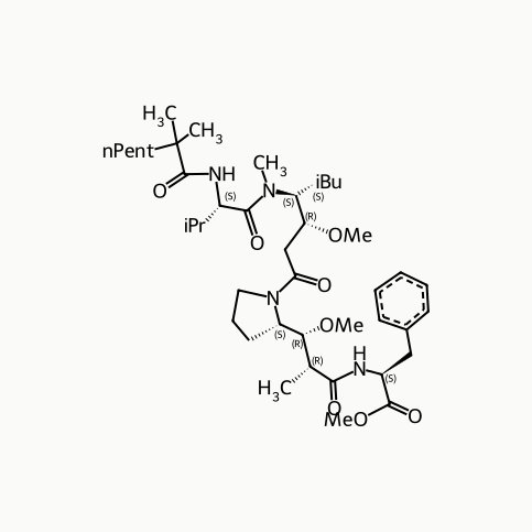 CCCCCC(C)(C)C(=O)N[C@H](C(=O)N(C)[C@@H]([C@@H](C)CC)[C@@H](CC(=O)N1CCC[C@H]1[C@H](OC)[C@@H](C)C(=O)N[C@@H](Cc1ccccc1)C(=O)OC)OC)C(C)C